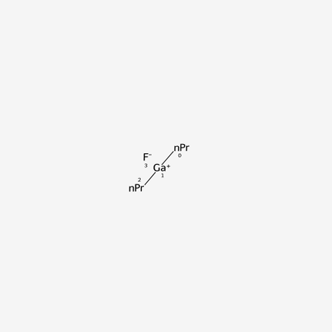 CC[CH2][Ga+][CH2]CC.[F-]